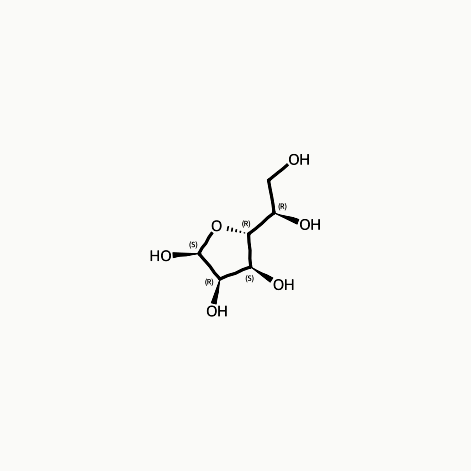 OC[C@@H](O)[C@H]1O[C@H](O)[C@H](O)[C@@H]1O